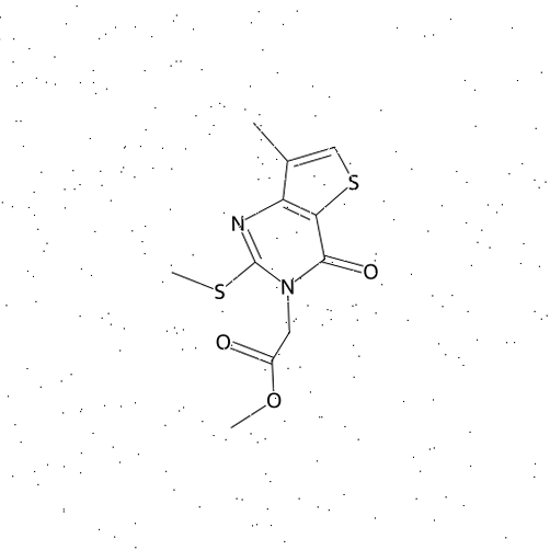 COC(=O)Cn1c(SC)nc2c(C)csc2c1=O